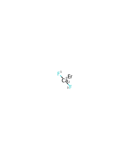 [Er].[F][Ca][F]